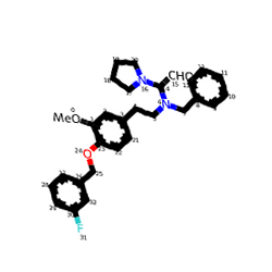 COc1cc(CCN(Cc2ccccc2)C(C=O)N2CCCC2)ccc1OCc1cccc(F)c1